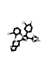 Fc1ccc(-c2c(-c3nn[nH]n3)nc(-c3ccc4sccc4c3)n2-c2cccc(Cl)c2F)cc1Cl